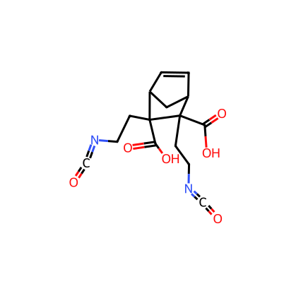 O=C=NCCC1(C(=O)O)C2C=CC(C2)C1(CCN=C=O)C(=O)O